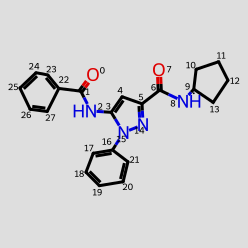 O=C(Nc1cc(C(=O)N[C]2CCCC2)nn1-c1ccccc1)c1ccccc1